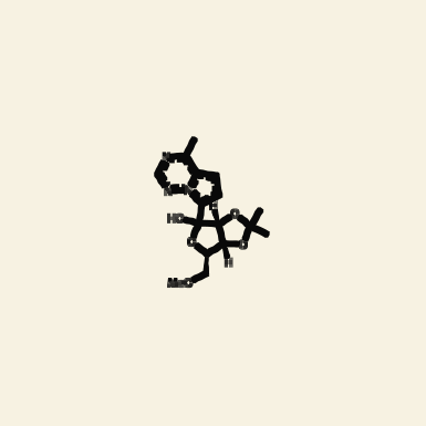 COC[C@H]1OC(O)(c2ccc3c(C)ncnn23)[C@@H]2OC(C)(C)O[C@@H]21